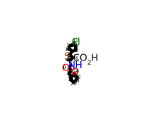 O=C(Nc1csc(-c2ccc(Cl)cc2)c1C(=O)O)c1cc2ccccc2o1